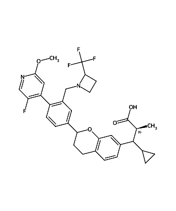 COc1cc(-c2ccc(C3CCc4ccc(C(C5CC5)[C@H](C)C(=O)O)cc4O3)cc2CN2CCC2C(F)(F)F)c(F)cn1